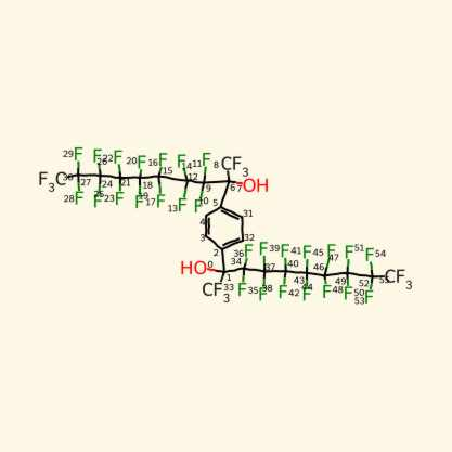 OC(c1ccc(C(O)(C(F)(F)F)C(F)(F)C(F)(F)C(F)(F)C(F)(F)C(F)(F)C(F)(F)C(F)(F)C(F)(F)F)cc1)(C(F)(F)F)C(F)(F)C(F)(F)C(F)(F)C(F)(F)C(F)(F)C(F)(F)C(F)(F)C(F)(F)F